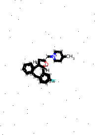 CC1CCN(C[C@H]2C[C@@H]3c4ccccc4Cc4ccc(F)cc4[C@H]3O2)CC1